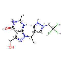 Cc1nc2c(c(CO)nn2C(C)c2cnn(CC(F)(F)F)c2)c(=O)[nH]1